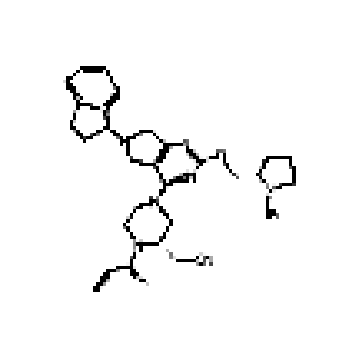 C=CC(=O)N1CCN(c2nc(OC[C@@H]3CCCN3C(C)C)nc3c2CN(C2CCc4ccccc42)C3)C[C@@H]1CC#N